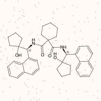 O=C(N[C@@H](c1cccc2ccccc12)C1(O)CCCC1)C1(C(=O)N[C@@H](c2cccc3ccccc23)C2(O)CCCC2)CCCCC1